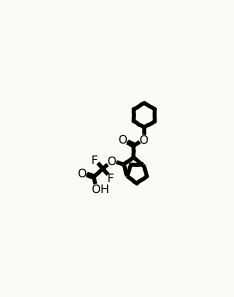 O=C(OC1CCCCC1)C1C2CCC(C2)C1OC(F)(F)C(=O)O